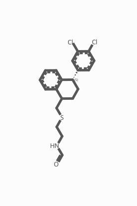 O=CNCCSCC1CC[C@@H](c2ccc(Cl)c(Cl)c2)c2ccccc21